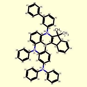 CC1(C)C2=C(B3c4ccc(N(c5ccccc5)c5ccccc5)cc4N(c4ccccc4)c4cccc(c43)N2c2cccc(-c3ccccc3)c2)C2C=CC=CC21